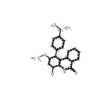 COc1cc(Cl)c2[nH]c(=O)c3ccccc3c2c1-c1ccc([C@@H](C)N)cc1.Cl